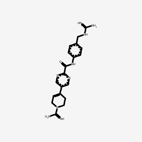 N=C(N)NCc1ccc(NC(=O)c2ncc(C3=CCN(C(=N)N)CC3)cn2)cc1